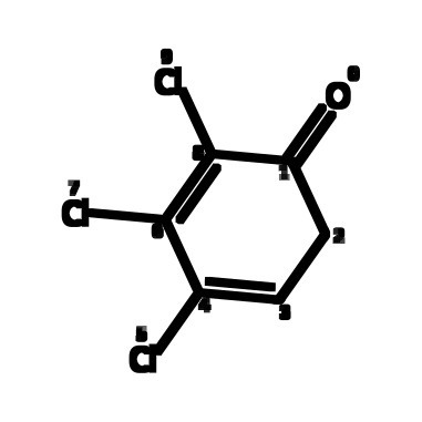 O=C1CC=C(Cl)C(Cl)=C1Cl